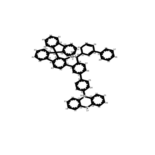 Nc1c(-c2cc(-c3ccc(N4c5ccccc5Sc5ccccc54)cc3)ccc2CC2C=C(c3ccccc3)C=CC2)ccc2c1C1(c3ccccc3-c3ccccc31)c1ccccc1-2